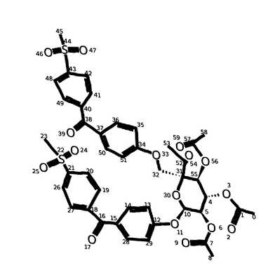 CC(=O)O[C@@H]1[C@@H](OC(C)=O)[C@@H](Oc2ccc(C(=O)c3ccc(S(C)(=O)=O)cc3)cc2)O[C@@](COc2ccc(C(=O)c3ccc(S(C)(=O)=O)cc3)cc2)(C(C)=O)[C@H]1OC(C)=O